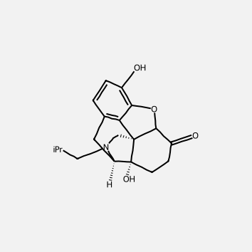 CC(C)CN1CC[C@]23c4c5ccc(O)c4OC2C(=O)CC[C@@]3(O)[C@H]1C5